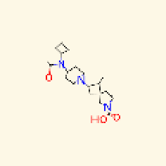 CC(=O)N(C1CCC1)C1CCN(C2CC3(CCN(C(=O)O)C3)C2C)CC1